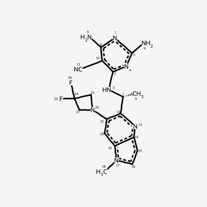 C[C@@H](Nc1nc(N)nc(N)c1C#N)c1nc2ccn(C)c2cc1N1CC(F)(F)C1